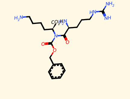 N=C(N)NCCC[C@H](N)C(=O)N(C(=O)OCc1ccccc1)[C@@H](CCCCN)C(=O)O